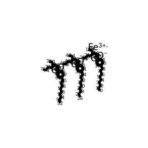 CCCCCCCCCc1ccc(P(=O)([O-])CC(CC)CCCC)cc1.CCCCCCCCCc1ccc(P(=O)([O-])CC(CC)CCCC)cc1.CCCCCCCCCc1ccc(P(=O)([O-])CC(CC)CCCC)cc1.[Fe+3]